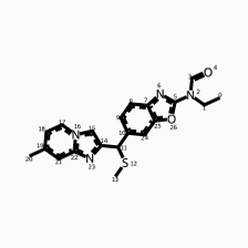 CCN(C=O)c1nc2ccc(C(SC)c3cn4ccc(C)cc4n3)cc2o1